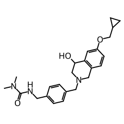 CN(C)C(=O)NCc1ccc(CN2Cc3ccc(OCC4CC4)cc3C(O)C2)cc1